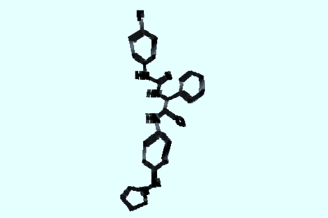 O=C(NC1=CCC(=NN2CCCC2)C=C1)C(NC(=S)Nc1ccc(F)cc1)c1ccccc1